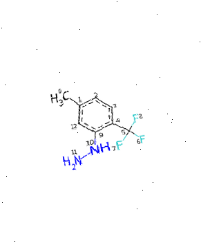 Cc1ccc(C(F)(F)F)c(NN)c1